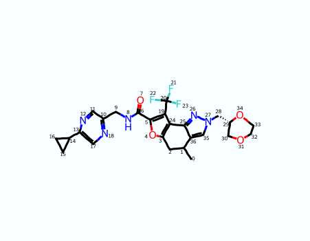 CC1Cc2oc(C(=O)NCc3cnc(C4CC4)cn3)c(C(F)(F)F)c2-c2nn(C[C@H]3COCCO3)cc21